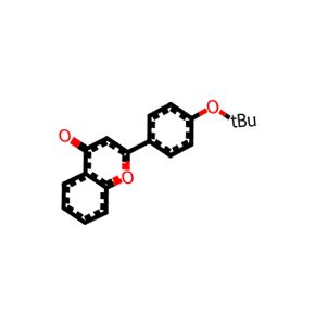 CC(C)(C)Oc1ccc(-c2cc(=O)c3ccccc3o2)cc1